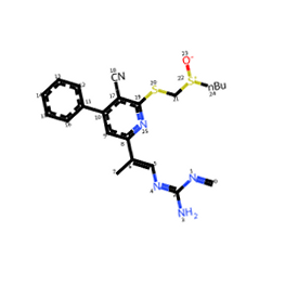 C=N/C(N)=N\C=C(/C)c1cc(-c2ccccc2)c(C#N)c(SC[S+]([O-])CCCC)n1